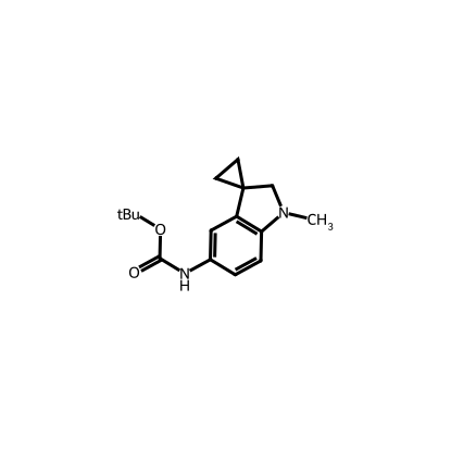 CN1CC2(CC2)c2cc(NC(=O)OC(C)(C)C)ccc21